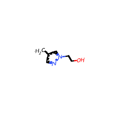 [CH2]c1cnn(CCO)c1